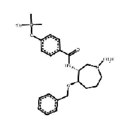 CC(C)(C)[Si](C)(C)Oc1ccc(C(=O)N[C@@H]2CN(C(=O)O)CCC[C@H]2OCc2ccccc2)cc1